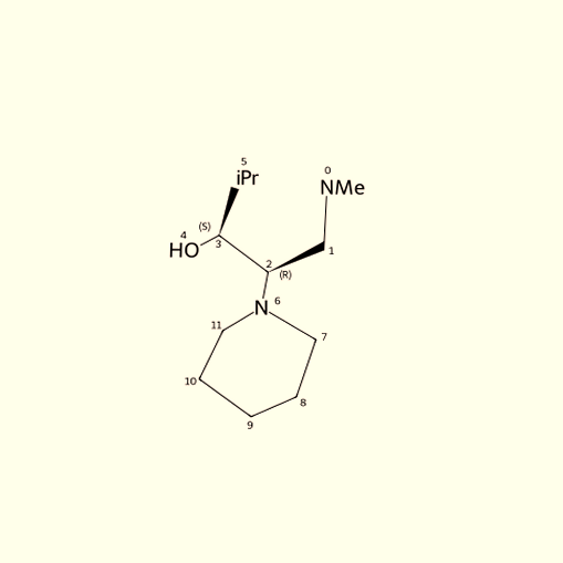 CNC[C@H]([C@@H](O)C(C)C)N1CCCCC1